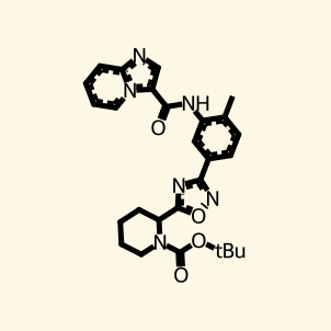 Cc1ccc(-c2noc(C3CCCCN3C(=O)OC(C)(C)C)n2)cc1NC(=O)c1cnc2ccccn12